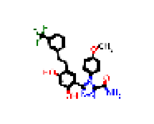 COc1ccc(-n2c(C(N)=O)nnc2-c2cc(CCc3cccc(C(F)(F)F)c3)c(O)cc2O)cc1